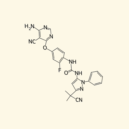 CC(C)(C#N)c1cc(NC(=O)Nc2ccc(Oc3ncnc(N)c3C#N)cc2F)n(-c2ccccc2)n1